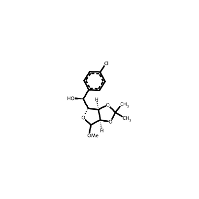 COC1O[C@H]([C@@H](O)c2ccc(Cl)cc2)[C@H]2OC(C)(C)O[C@@H]12